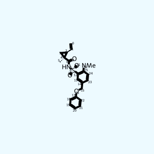 C=C[C@@H]1C[C@]1(C)C(=O)NS(=O)(=O)c1cc(COc2ccccc2)ccc1NC